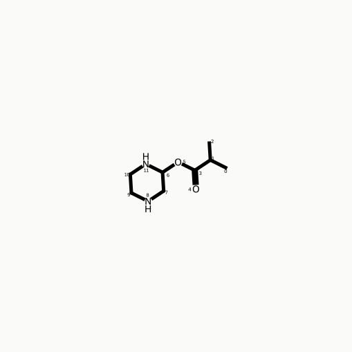 CC(C)C(=O)OC1CNCCN1